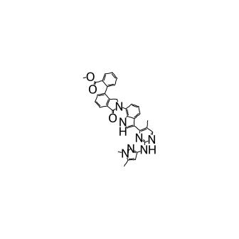 COC(=O)c1ccccc1-c1cccc2c1CN(c1cccc3c(-c4nc(Nc5cc(C)n(C)n5)ncc4C)c[nH]c13)C2=O